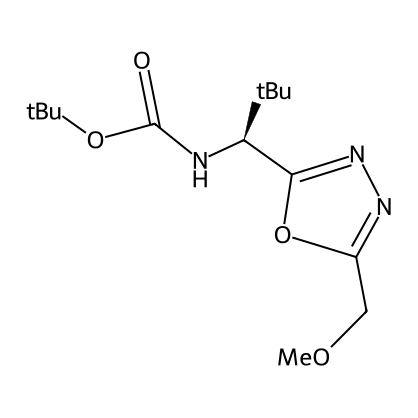 COCc1nnc([C@@H](NC(=O)OC(C)(C)C)C(C)(C)C)o1